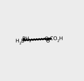 BC(B)CCCCCCCCCCCCCCCCCOC(=O)/C=C/C(=O)O